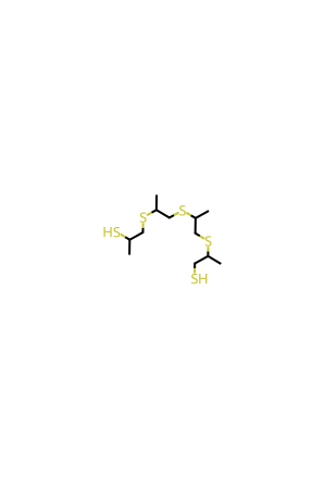 CC(S)CSC(C)CSC(C)CSC(C)CS